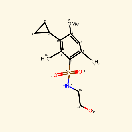 COc1cc(C)c(S(=O)(=O)NCC[O])c(C)c1C1CC1